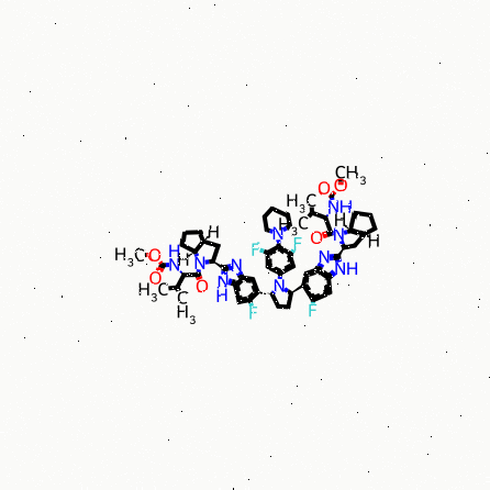 COC(=O)N[C@H](C(=O)N1[C@H](c2nc3cc([C@H]4CC[C@H](c5cc6nc([C@@H]7C[C@@H]8CCC[C@@H]8N7C(=O)[C@@H](NC(=O)OC)C(C)C)[nH]c6cc5F)N4c4cc(F)c(N5CCCCC5)c(F)c4)c(F)cc3[nH]2)C[C@@H]2CCC[C@@H]21)C(C)C